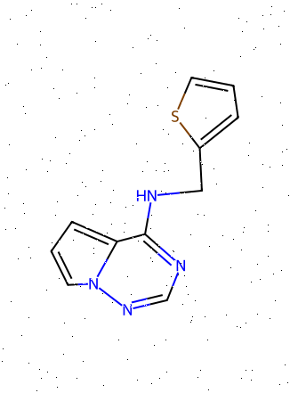 c1csc(CNc2ncnn3cccc23)c1